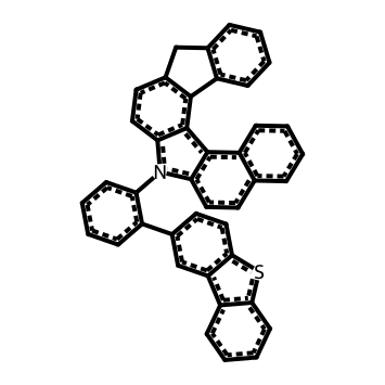 c1ccc2c(c1)Cc1ccc3c(c1-2)c1c2ccccc2ccc1n3-c1ccccc1-c1ccc2sc3ccccc3c2c1